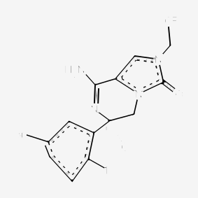 C[C@@]1(c2cc(Br)ccc2F)Cn2c(cn(CC(F)(F)F)c2=O)C(N)=N1